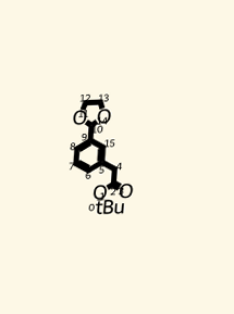 CC(C)(C)OC(=O)Cc1cccc(C2OCCO2)c1